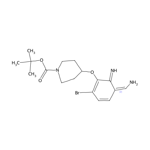 CC(C)(C)OC(=O)N1CCC(OC2=C(Br)C=C/C(=C/N)C2=N)CC1